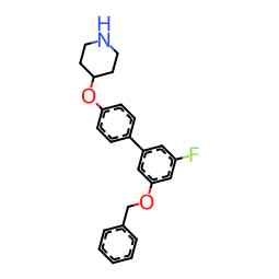 Fc1cc(OCc2ccccc2)cc(-c2ccc(OC3CCNCC3)cc2)c1